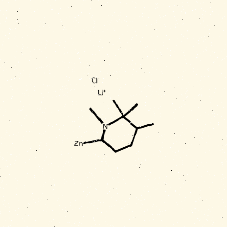 CC1CC[CH]([Zn])N(C)C1(C)C.[Cl-].[Li+]